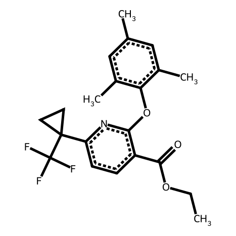 CCOC(=O)c1ccc(C2(C(F)(F)F)CC2)nc1Oc1c(C)cc(C)cc1C